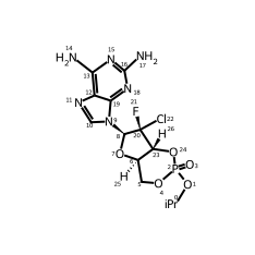 CC(C)OP1(=O)OC[C@H]2O[C@@H](n3cnc4c(N)nc(N)nc43)[C@](F)(Cl)[C@@H]2O1